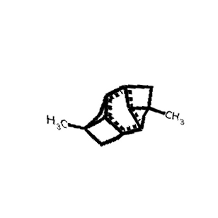 CC12Cc3c1c2c1c2c3C2(C)C1